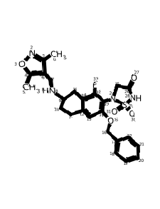 Cc1noc(C)c1CNC1CCc2cc(OCc3ccccc3)c(N3CC(=O)NS3(=O)=O)c(F)c2C1